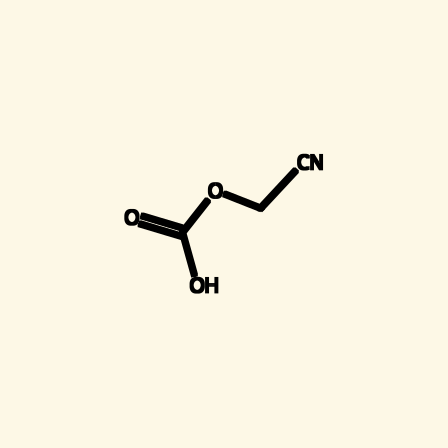 N#CCOC(=O)O